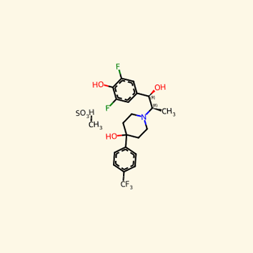 CS(=O)(=O)O.C[C@H]([C@H](O)c1cc(F)c(O)c(F)c1)N1CCC(O)(c2ccc(C(F)(F)F)cc2)CC1